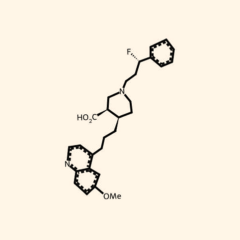 COc1ccc2nccc(CCC[C@@H]3CCN(CC[C@H](F)c4ccccc4)C[C@@H]3C(=O)O)c2c1